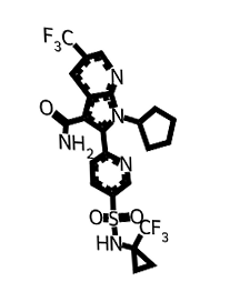 NC(=O)c1c(-c2ccc(S(=O)(=O)NC3(C(F)(F)F)CC3)cn2)n(C2CCCC2)c2ncc(C(F)(F)F)cc12